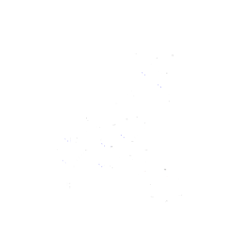 COc1ncnc(C2CC2)c1-c1ncc2c(n1)N(Cc1ccc(-c3nc(C(F)(F)F)cn3C)c(F)c1)C(=O)OC2(C)COC1CCCCO1